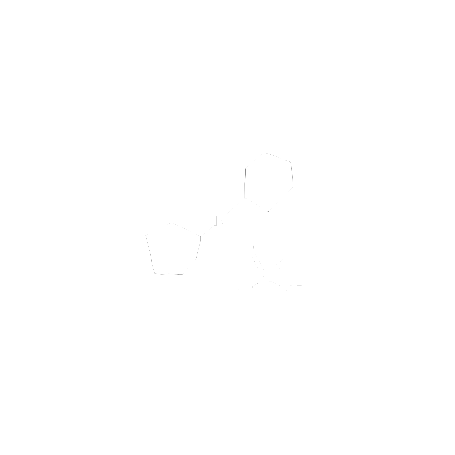 O=S(=O)([O-])C(F)(F)F.[B+](C1CCCCC1)C1CCCCC1